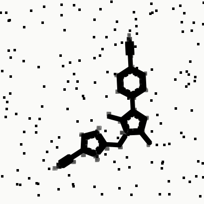 Cc1cc(-c2ccc(C#N)cc2)c(C)n1Cc1nc(C#N)cs1